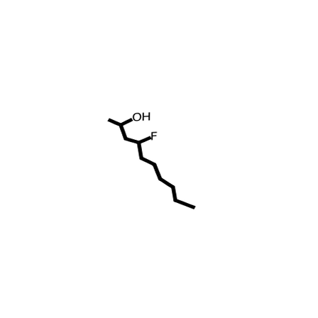 CCCCCCC(F)CC(C)O